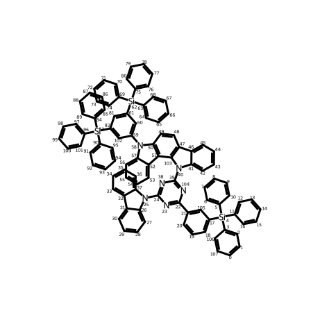 c1ccc([Si](c2ccccc2)(c2ccccc2)c2cccc(-c3nc(-n4c5ccccc5c5ccccc54)nc(-n4c5ccccc5c5ccc6c(c7ccccc7n6-c6cc([Si](c7ccccc7)(c7ccccc7)c7ccccc7)cc([Si](c7ccccc7)(c7ccccc7)c7ccccc7)c6)c54)n3)c2)cc1